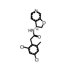 Cc1cc(Cl)cc(Cl)c1CC(=O)N[C@H]1COc2cnccc21